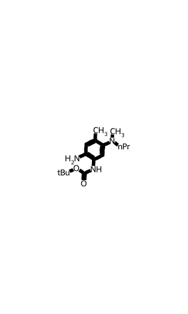 CCCN(C)c1cc(NC(=O)OC(C)(C)C)c(N)cc1C